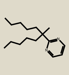 CCCCCC(C)(CCCCC)c1ncccn1